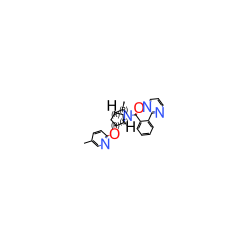 Cc1ccc(O[C@@H]2C[C@H]3C[C@@H]2N(C(=O)c2ccccc2-c2ncccn2)[C@@H]3C)nc1